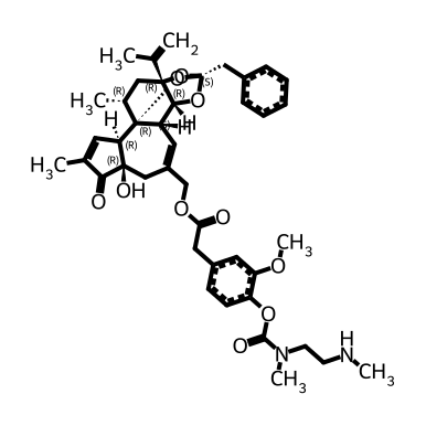 C=C(C)[C@]12C[C@@H](C)[C@@]34O[C@](Cc5ccccc5)(O[C@@H]1[C@@H]3C=C(COC(=O)Cc1ccc(OC(=O)N(C)CCNC)c(OC)c1)C[C@]1(O)C(=O)C(C)=C[C@@H]41)O2